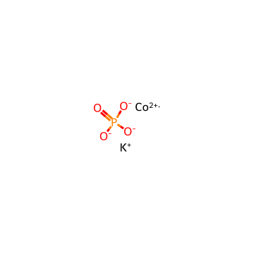 O=P([O-])([O-])[O-].[Co+2].[K+]